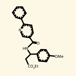 CCOC(=O)CC(NC(=O)c1ccc(-c2ccccc2)nc1)c1ccc(OC)cc1